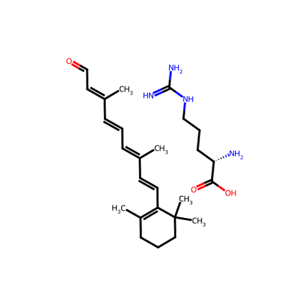 CC1=C(/C=C/C(C)=C/C=C/C(C)=C/C=O)C(C)(C)CCC1.N=C(N)NCCC[C@H](N)C(=O)O